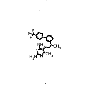 Cc1nc(N)nc(N)c1CCC(C)c1cccc(-c2ccc(C(F)(F)F)cc2)c1